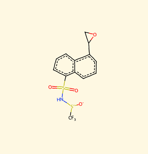 O=S(=O)(N[S+]([O-])C(F)(F)F)c1cccc2c(C3CO3)cccc12